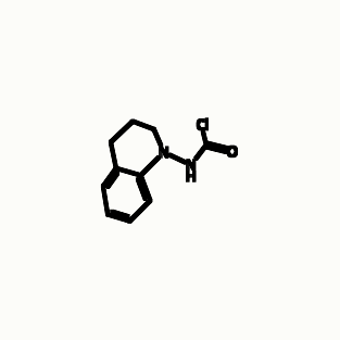 O=C(Cl)NN1CCCc2ccccc21